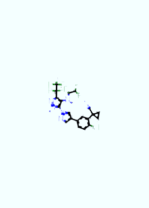 CN(c1c(C(F)(F)C(F)(F)F)nn(C)c1-n1cc(-c2ccc(Cl)c(C3(C#N)CC3)c2)cn1)C(F)C(F)F